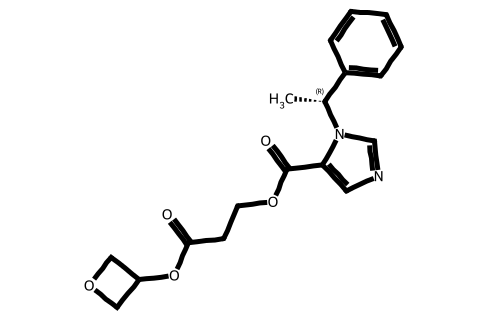 C[C@H](c1ccccc1)n1cncc1C(=O)OCCC(=O)OC1COC1